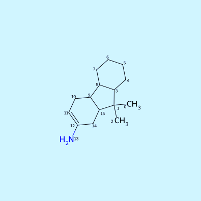 CC1(C)C2CCCCC2C2CC=C(N)CC21